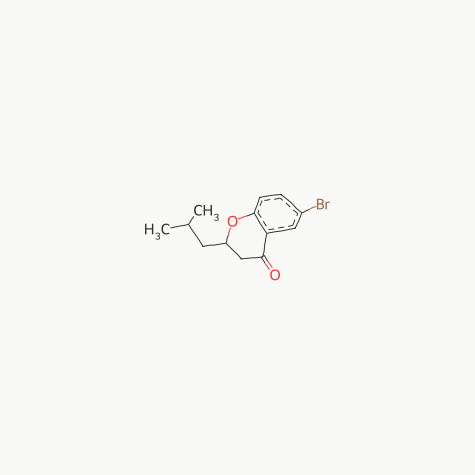 CC(C)CC1CC(=O)c2cc(Br)ccc2O1